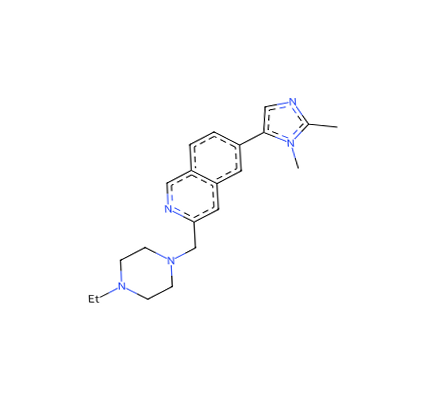 CCN1CCN(Cc2cc3cc(-c4cnc(C)n4C)ccc3cn2)CC1